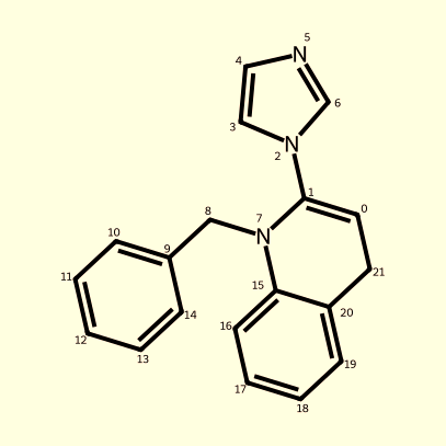 C1=C(n2ccnc2)N(Cc2ccccc2)c2ccccc2C1